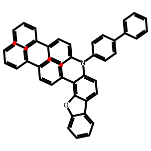 c1ccc(-c2ccc(-c3c(N(c4ccc(-c5ccccc5)cc4)c4ccc(-c5ccccc5)cc4)ccc4c3oc3ccccc34)cc2)cc1